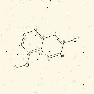 COc1ccnc2cc(Cl)ccc12